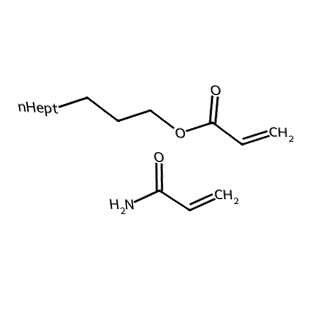 C=CC(=O)OCCCCCCCCCC.C=CC(N)=O